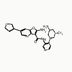 C[C@@H]1C[C@H](N)CN(c2ccncc2NC(=O)c2c(N)oc3cc(C4CCOC4)cnc23)C1